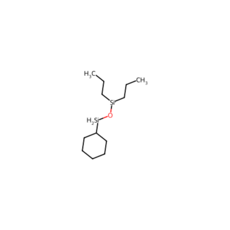 CCC[Si](CCC)O[SiH2]C1CCCCC1